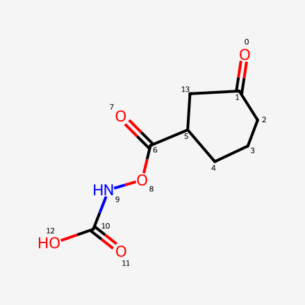 O=C1CCCC(C(=O)ONC(=O)O)C1